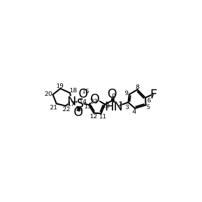 O=C(Nc1ccc(F)cc1)c1ccc(S(=O)(=O)N2CCCCC2)o1